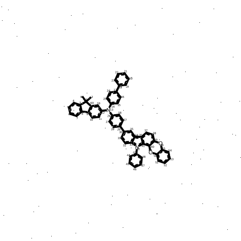 CC1(C)c2ccccc2-c2ccc(N(c3ccc(-c4ccccc4)cc3)c3ccc(-c4ccc5c(c4)c4ccc6c(c4n5-c4ccccc4)Oc4ccccc4O6)cc3)cc21